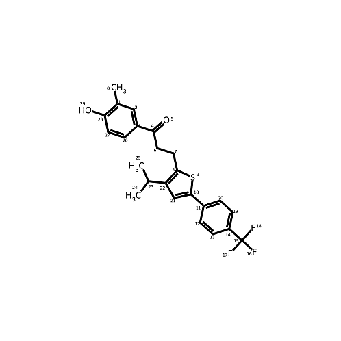 Cc1cc(C(=O)CCc2sc(-c3ccc(C(F)(F)F)cc3)cc2C(C)C)ccc1O